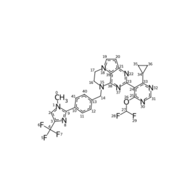 Cn1cc(C(F)(F)F)nc1-c1ccc(CN2CCn3ccc4nc(-c5c(OC(F)F)ncnc5C5CC5)nc2c43)cc1